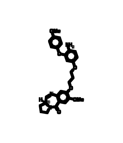 COc1ccc(Oc2cc(OCCCOc3cc4c(cc3OC)C(=O)N3CCC[C@H]3C=N4)ccc2N)cc1